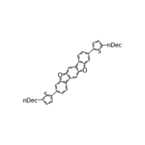 CCCCCCCCCCc1ccc(-c2ccc3c(c2)oc2cc4c(cc23)oc2cc(-c3ccc(CCCCCCCCCC)s3)ccc24)s1